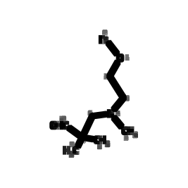 CCOCCN(C)CC(C)(C)C=O